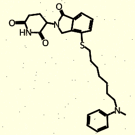 CN(CCCCCCCSc1cccc2c1CN(C1CCC(=O)NC1=O)C2=O)c1ccccc1